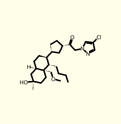 CCCC[C@H]1[C@H]([C@@H]2CC[C@H](C(=O)Cn3cc(Cl)cn3)C2)CC[C@@H]2C[C@](C)(O)CC[C@@]21COC